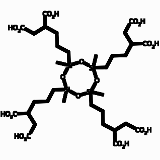 C[Si]1(CCCC(CC(=O)O)C(=O)O)O[Si](C)(CCCC(CC(=O)O)C(=O)O)O[Si](C)(CCCC(CC(=O)O)C(=O)O)O[Si](C)(CCCC(CC(=O)O)C(=O)O)O1